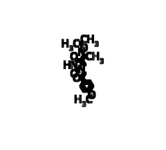 COc1ccc(C(=O)Cn2cc(/C(C)=N/OC(C)C)c(=O)[nH]c2=O)cc1